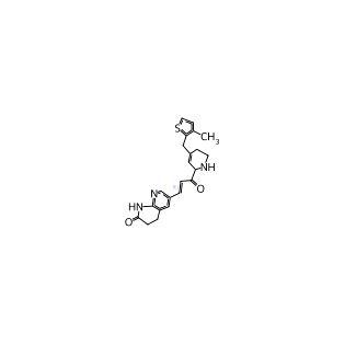 Cc1ccsc1CC1=CC(C(=O)/C=C/c2cnc3c(c2)CCC(=O)N3)NCC1